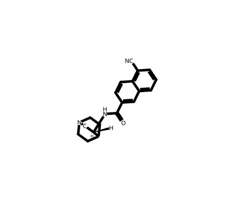 N#Cc1cccc2cc(C(=O)N[C@H]3CN4CCC3CC4)ccc12